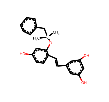 C[Si](C)(Cc1ccccc1)Oc1cc(O)ccc1/C=C/c1cc(O)cc(O)c1